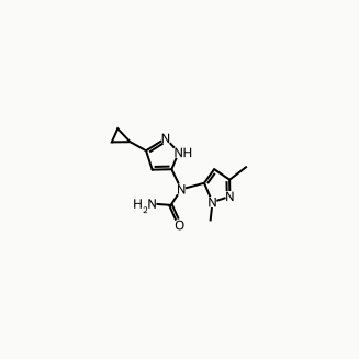 Cc1cc(N(C(N)=O)c2cc(C3CC3)n[nH]2)n(C)n1